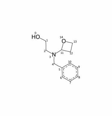 OCCN(Cc1ccccc1)C1CCO1